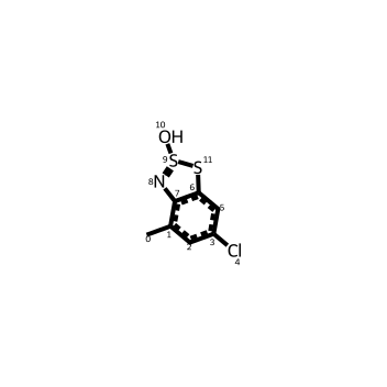 Cc1cc(Cl)cc2c1N=S(O)S2